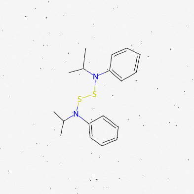 CC(C)N(SSN(c1ccccc1)C(C)C)c1ccccc1